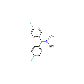 CCCN(CCC)C(c1ccc(F)cc1)c1ccc(F)cc1